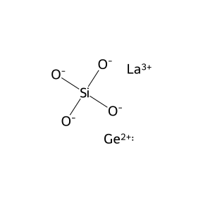 [Ge+2].[La+3].[O-][Si]([O-])([O-])[O-]